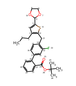 CCCc1cc(C2OCCO2)sc1Cc1ccc(-c2ccccc2C(=O)OC(C)(C)C)cc1F